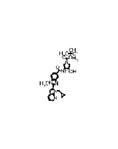 Cn1c(-c2cc3cccnc3n2CC2CC2)nc2cc(C(=O)NC3CN(C(=O)OC(C)(C)C)CC3O)ccc21